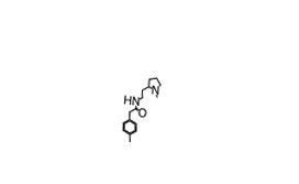 Cc1ccc(CC(=O)NCCC2CCCN2C)cc1